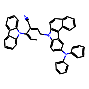 C/C=C(\C(C#N)=C/Cn1c2ccc(N(c3ccccc3)c3ccccc3)cc2c2c3ccccc3ccc21)n1c2ccccc2c2ccccc21